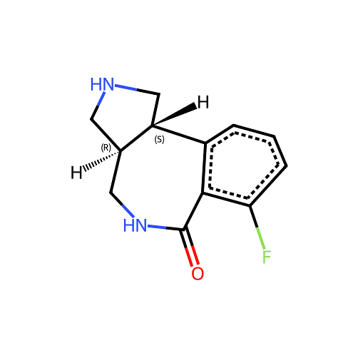 O=C1NC[C@H]2CNC[C@@H]2c2cccc(F)c21